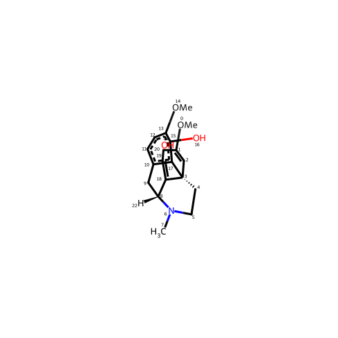 COC1=C[C@]23CCN(C)[C@H](Cc4ccc(OC)c(O)c42)C3=CC1O